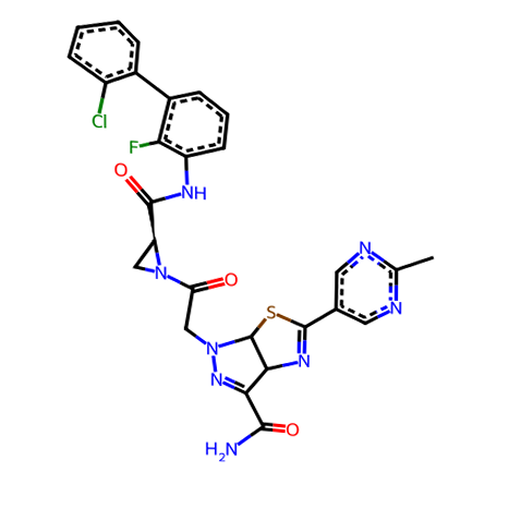 Cc1ncc(C2=NC3C(C(N)=O)=NN(CC(=O)N4C[C@H]4C(=O)Nc4cccc(-c5ccccc5Cl)c4F)C3S2)cn1